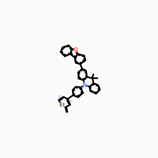 C=C/C=C(\C=C/CC)c1ccc(N2c3ccccc3C(C)(C)c3cc(-c4ccc5oc6ccccc6c5c4)ccc32)cc1